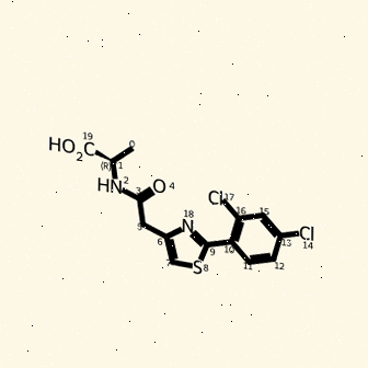 C[C@@H](NC(=O)Cc1csc(-c2ccc(Cl)cc2Cl)n1)C(=O)O